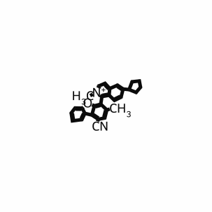 Cc1cc(C#N)c2c(oc3ccccc32)c1-c1c2ccc(C3CCCC3)cc2cc[n+]1C